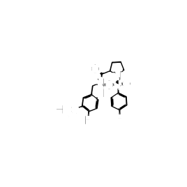 Cc1cc(CNC(=O)C2CCCN2S(=O)(=O)c2ccc(F)cc2)ccc1F